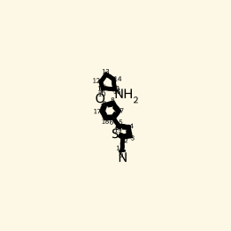 N#Cc1ccc(-c2ccc(O[C@@H]3CCC[C@@H]3N)cc2)s1